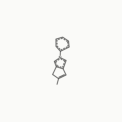 CC1=Cc2cn(-c3ccccc3)cc2C1